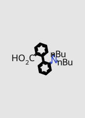 CCCCN(CCCC)c1ccccc1-c1ccccc1C(=O)O